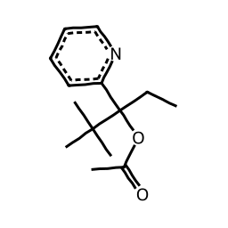 CCC(OC(C)=O)(c1ccccn1)C(C)(C)C